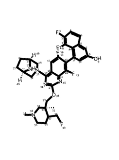 CCc1c(F)ccc2cc(O)cc(-c3c(F)cc4c(N5C[C@H]6CC[C@@H](C5)N6)nc(OC[C@]5(C)CN(C)CCC5CF)nc4c3F)c12